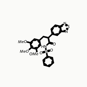 COc1cc(CC(C(=O)NS(=O)(=O)c2ccccc2)c2ccc3nsnc3c2)cc(OC)c1OC